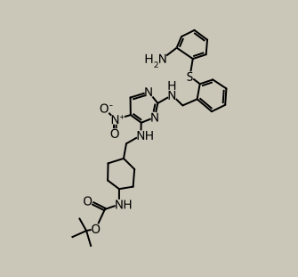 CC(C)(C)OC(=O)NC1CCC(CNc2nc(NCc3ccccc3Sc3ccccc3N)ncc2[N+](=O)[O-])CC1